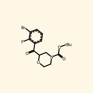 CC(C)(C)OC(=O)N1CCOC(C(=O)c2cccc(Br)c2F)C1